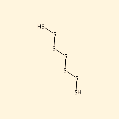 SSSSSSS